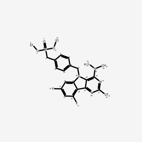 CCOP(=O)(Cc1ccc(Cn2c3cc(F)cc(F)c3c3nc(C(F)(F)F)nc(N(C)C)c32)cc1)OCC